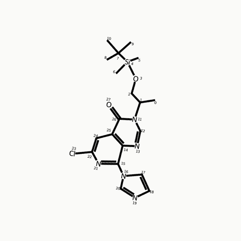 CC(CO[Si](C)(C)C(C)(C)C)n1cnc2c(-n3ccnc3)nc(Cl)cc2c1=O